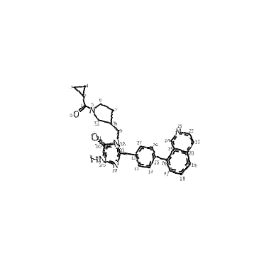 O=C(C1CC1)N1CC[C@@H](Cn2c(-c3ccc(-c4cccc5ccncc45)cc3)n[nH]c2=O)C1